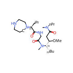 CCCN(C)C(=O)CC(OC)[C@H]([C@@H](C)CC)N(C)C(=O)CNC(=O)[C@H](C(C)C)N1CCCNCC1